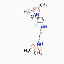 CCc1c(N2CC(C)OC(C)C2)ccc(NCCCCCNS(=O)(=O)C(C)C)c1F